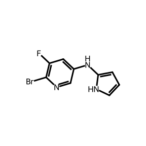 Fc1cc(Nc2ccc[nH]2)cnc1Br